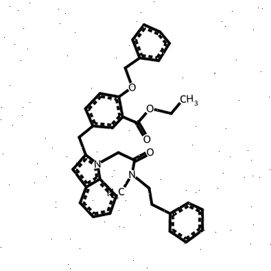 CCOC(=O)c1cc(Cc2cc3ccccc3n2CC(=O)N(C)CCc2ccccc2)ccc1OCc1ccccc1